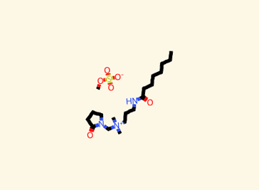 CCCCCCCC(=O)NCCC[N+](C)(C)CN1CCCC1=O.COS(=O)(=O)[O-]